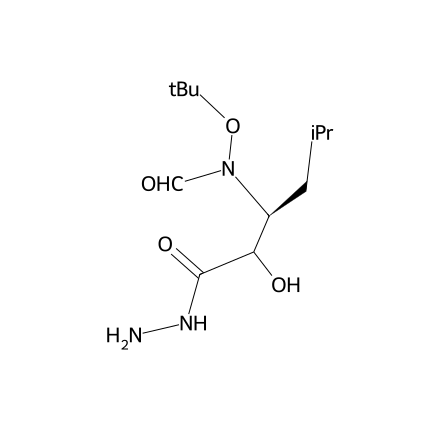 CC(C)C[C@@H](C(O)C(=O)NN)N(C=O)OC(C)(C)C